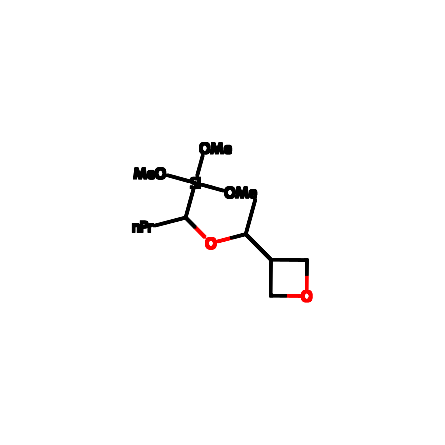 CCCC(OC(C)C1COC1)[Si](OC)(OC)OC